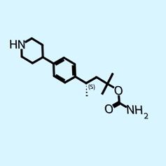 C[C@@H](CC(C)(C)OC(N)=O)c1ccc(C2CCNCC2)cc1